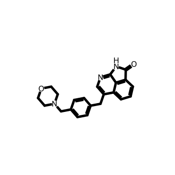 O=C1Nc2ncc(Cc3ccc(CN4CCOCC4)cc3)c3cccc1c23